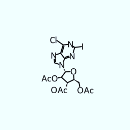 CC(=O)OC[C@@H]1O[C@@H](n2cnc3c(Cl)nc(I)nc32)[C@H](OC(C)=O)[C@@H]1OC(C)=O